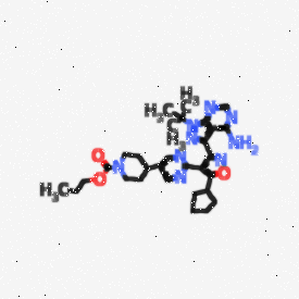 CCCOC(=O)N1CCC(c2cnc(-c3c(-c4nn(C(C)(C)C)c5ncnc(N)c45)noc3C3CCCC3)nc2)CC1